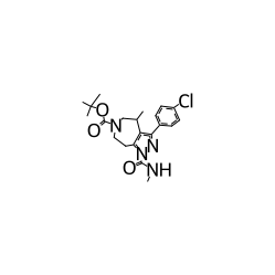 CNC(=O)n1nc(-c2ccc(Cl)cc2)c2c1CCN(C(=O)OC(C)(C)C)CC2C